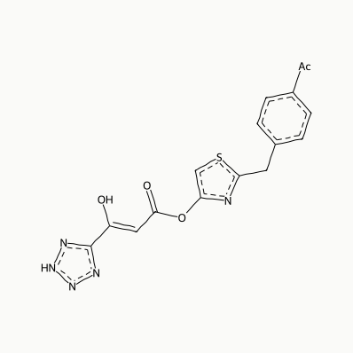 CC(=O)c1ccc(Cc2nc(OC(=O)C=C(O)c3nn[nH]n3)cs2)cc1